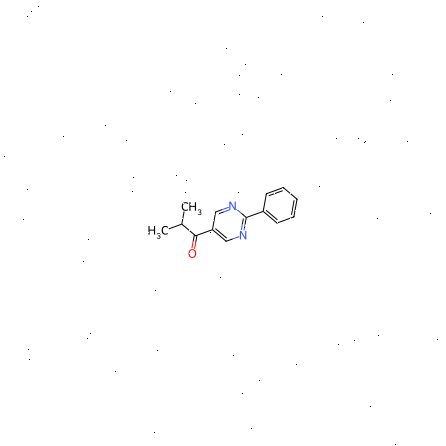 CC(C)C(=O)c1cnc(-c2ccccc2)nc1